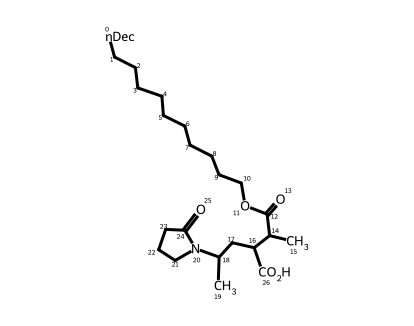 CCCCCCCCCCCCCCCCCCCCOC(=O)C(C)C(CC(C)N1CCCC1=O)C(=O)O